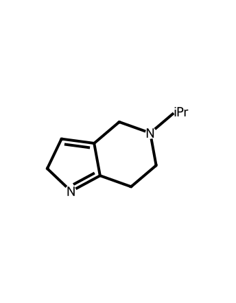 CC(C)N1CCC2=NCC=C2C1